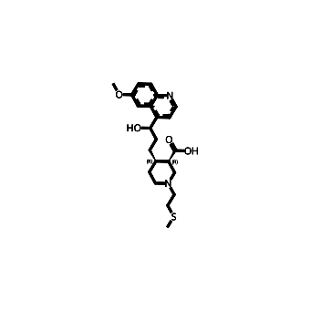 COc1ccc2nccc(C(O)CC[C@@H]3CCN(CCSC)C[C@@H]3C(=O)O)c2c1